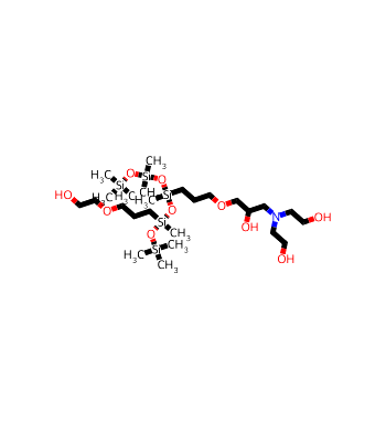 C[Si](C)(C)O[Si](C)(C)O[Si](C)(CCCOCC(O)CN(CCO)CCO)O[Si](C)(CCCOCCO)O[Si](C)(C)C